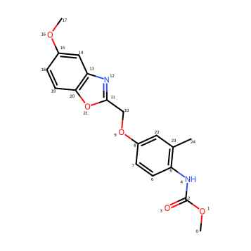 COC(=O)Nc1ccc(OCc2nc3cc(OC)ccc3o2)cc1C